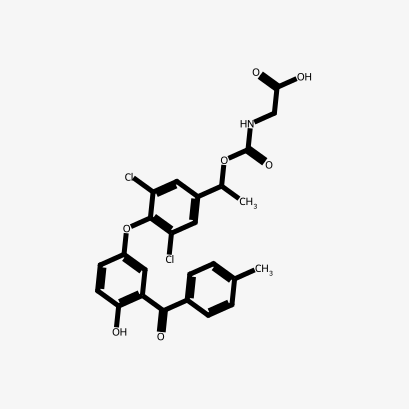 Cc1ccc(C(=O)c2cc(Oc3c(Cl)cc(C(C)OC(=O)NCC(=O)O)cc3Cl)ccc2O)cc1